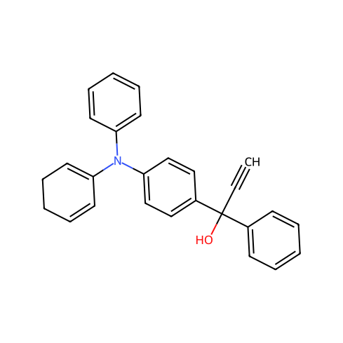 C#CC(O)(c1ccccc1)c1ccc(N(C2=CCCC=C2)c2ccccc2)cc1